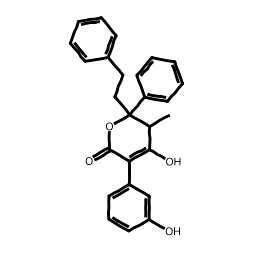 CC1C(O)=C(c2cccc(O)c2)C(=O)OC1(CCc1ccccc1)c1ccccc1